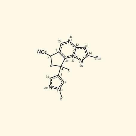 Cn1cc(C2(C)CC(C#N)c3cnc4cc(F)nn4c32)cn1